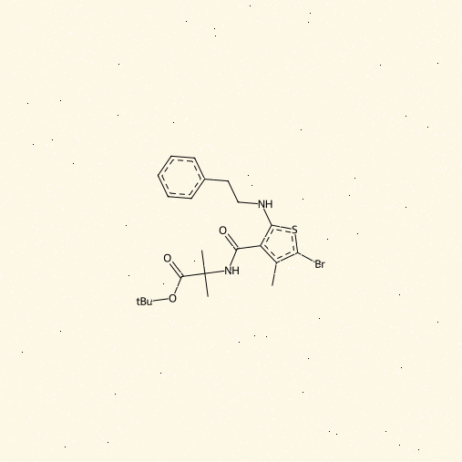 Cc1c(Br)sc(NCCc2ccccc2)c1C(=O)NC(C)(C)C(=O)OC(C)(C)C